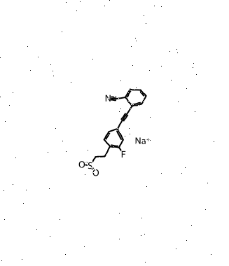 N#Cc1ccccc1C#Cc1ccc(CCS(=O)[O-])c(F)c1.[Na+]